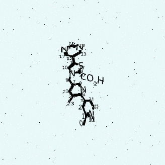 Cc1cc(-c2ncc(CN3C=C(c4cncnc4)SC3C(=O)O)cc2C)ccn1